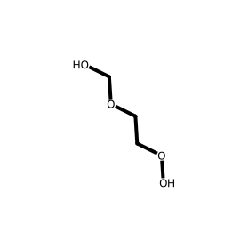 OCOCCOO